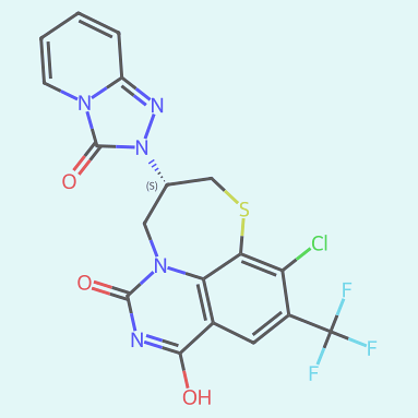 O=c1nc(O)c2cc(C(F)(F)F)c(Cl)c3c2n1C[C@H](n1nc2ccccn2c1=O)CS3